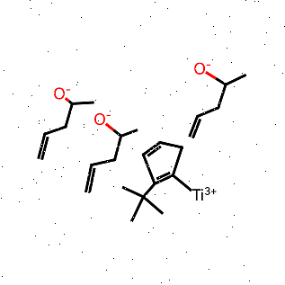 C=CCC(C)[O-].C=CCC(C)[O-].C=CCC(C)[O-].CC(C)(C)C1=[C]([Ti+3])CC=C1